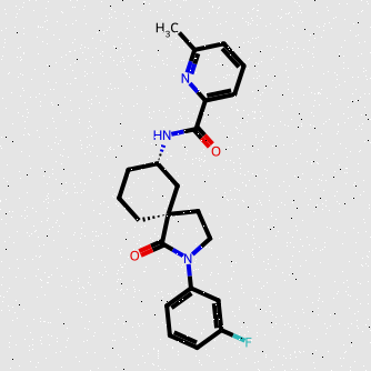 Cc1cccc(C(=O)N[C@H]2CCC[C@@]3(CCN(c4cccc(F)c4)C3=O)C2)n1